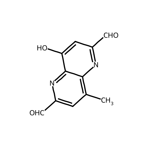 Cc1cc(C=O)nc2c(O)cc(C=O)nc12